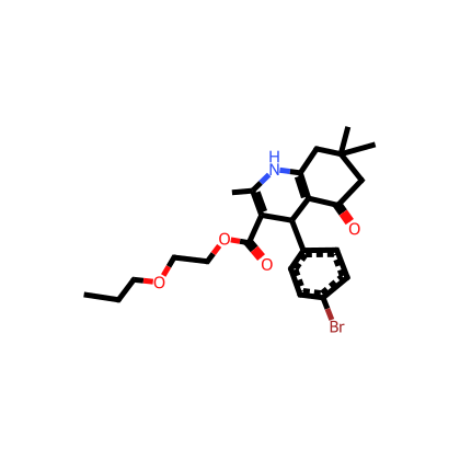 CCCOCCOC(=O)C1=C(C)NC2=C(C(=O)CC(C)(C)C2)C1c1ccc(Br)cc1